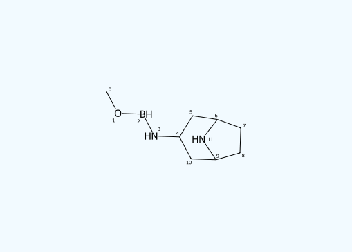 COBNC1CC2CCC(C1)N2